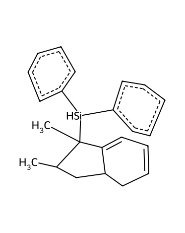 CC1CC2CC=CC=C2C1(C)[SiH](c1ccccc1)c1ccccc1